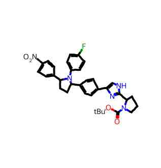 CC(C)(C)OC(=O)N1CCCC1c1nc(-c2ccc(C3CCC(c4ccc([N+](=O)[O-])cc4)N3c3ccc(F)cc3)cc2)c[nH]1